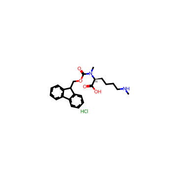 CNCCCC[C@@H](C(=O)O)N(C)C(=O)OCC1c2ccccc2-c2ccccc21.Cl